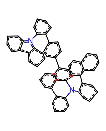 c1ccc(-c2ccccc2N(c2ccc(-c3ccc(-c4ccccc4-n4c5ccccc5c5ccccc54)cc3)cc2)c2ccccc2-c2cccc3ccccc23)cc1